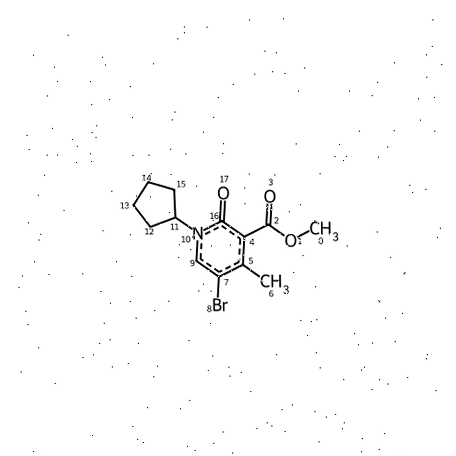 COC(=O)c1c(C)c(Br)cn(C2CCCC2)c1=O